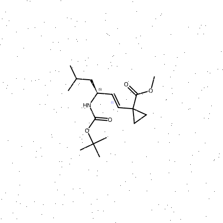 COC(=O)C1(/C=C/[C@H](CC(C)C)NC(=O)OC(C)(C)C)CC1